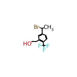 CC(Br)c1ccc(C(F)(F)F)c(CCO)c1